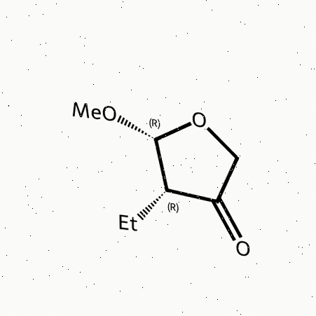 CC[C@H]1C(=O)CO[C@H]1OC